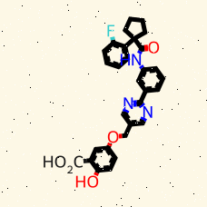 O=C(O)c1cc(OCc2cnc(-c3cccc(NC(=O)C4(c5ccccc5F)CCCC4)c3)nc2)ccc1O